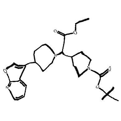 CCOC(=O)C(C1CCN(C(=O)OC(C)(C)C)CC1)N1CCC(c2coc3ncccc23)CC1